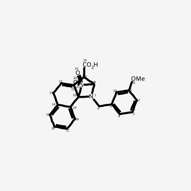 COc1cccc(CN2C3C(C(=O)O)C4=CCc5ccccc5C42S3(=O)=O)c1